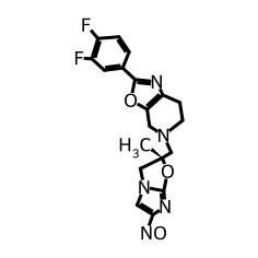 C[C@]1(CN2CCc3nc(-c4ccc(F)c(F)c4)oc3C2)Cn2cc(N=O)nc2O1